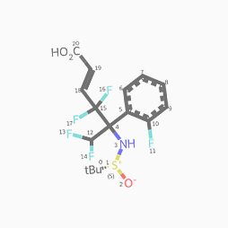 CC(C)(C)[S@@+]([O-])NC(c1ccccc1F)(C(F)F)C(F)(F)C=CC(=O)O